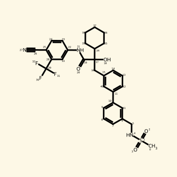 CS(=O)(=O)NCc1cccc(-c2cccc(CC(O)(C(=O)Nc3ccc(C#N)c(C(F)(F)F)c3)C3CCCCC3)c2)c1